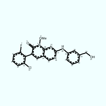 COn1c(=O)c(-c2c(F)cccc2Cl)cc2cnc(Nc3cccc(CO)c3)nc21